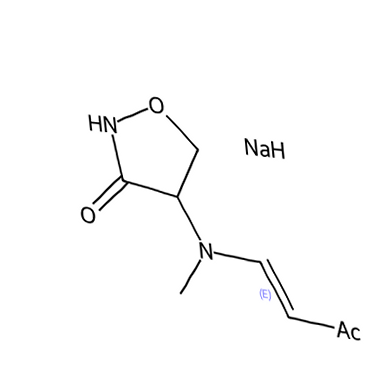 CC(=O)/C=C/N(C)C1CONC1=O.[NaH]